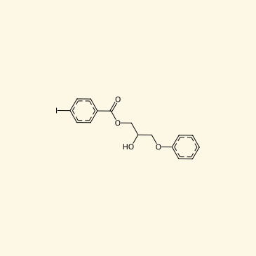 O=C(OCC(O)COc1ccccc1)c1ccc(I)cc1